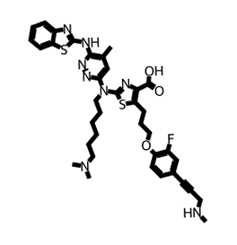 CNCC#Cc1ccc(OCCCc2sc(N(CCCCCCN(C)C)c3cc(C)c(Nc4nc5ccccc5s4)nn3)nc2C(=O)O)c(F)c1